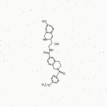 COc1ccc(C(=O)N2CCc3cc(C(=O)NC[C@@H](O)[C@@H]4Cc5ccc(O)cc5CN4)ccc3C2)cc1